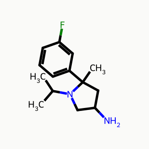 CC(C)N1CC(N)CC1(C)c1cccc(F)c1